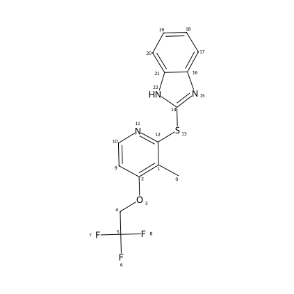 Cc1c(OCC(F)(F)F)ccnc1Sc1nc2ccccc2[nH]1